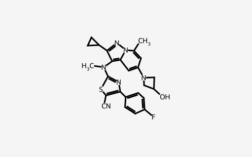 Cc1cc(N2CC(O)C2)cc2c(N(C)c3nc(-c4ccc(F)cc4)c(C#N)s3)c(C3CC3)nn12